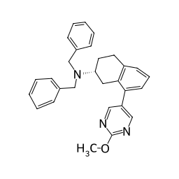 COc1ncc(-c2cccc3c2C[C@H](N(Cc2ccccc2)Cc2ccccc2)CC3)cn1